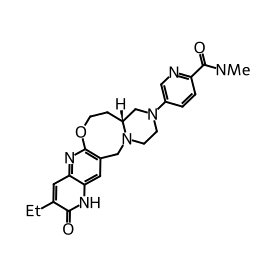 CCc1cc2nc3c(cc2[nH]c1=O)CN1CCN(c2ccc(C(=O)NC)nc2)C[C@H]1CCO3